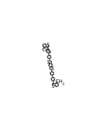 Cc1cccc2scc(-c3ccc(-c4ccc(-c5cc6cc7sc(-c8ccc(-c9ccc(-c%10csc%11cccc(C)c%10%11)cc9)cc8)cc7cc6s5)cc4)cc3)c12